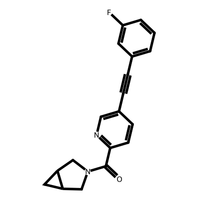 O=C(c1ccc(C#Cc2cccc(F)c2)cn1)N1CC2CC2C1